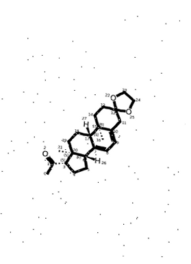 CC(=O)[C@H]1CC[C@H]2C3=CC=C4CC5(CC[C@]4(C)[C@H]3CC[C@]12C)OCCO5